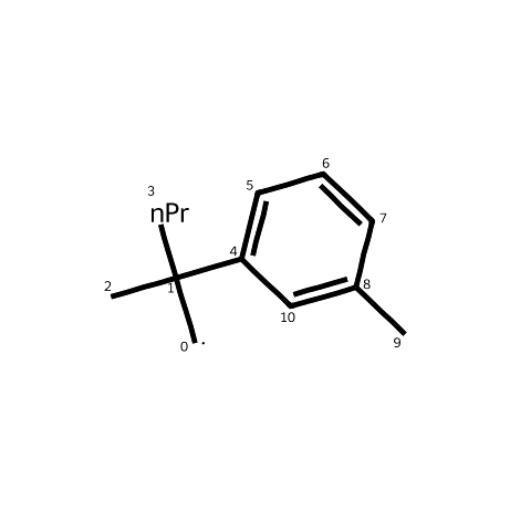 [CH2]C(C)(CCC)c1cccc(C)c1